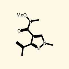 C=C(C)c1nn(C)cc1C(=O)N(C)OC